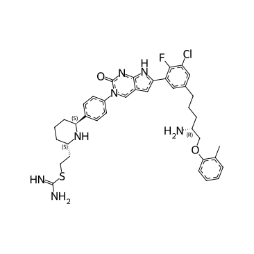 Cc1ccccc1OC[C@H](N)CCCc1cc(Cl)c(F)c(-c2cc3cn(-c4ccc([C@@H]5CCC[C@@H](CCSC(=N)N)N5)cc4)c(=O)nc3[nH]2)c1